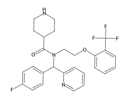 O=C(C1CCNCC1)N(CCOc1ccccc1C(F)(F)F)C(c1ccc(F)cc1)c1ccccn1